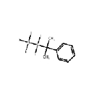 CC(C)(c1ccccc1)[Si](I)(I)[Si](I)(I)I